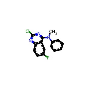 CN(c1ccccc1)c1nc(Cl)nc2ccc(F)cc12